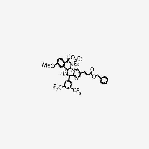 CCOC(=O)N1c2ccc(OC)cc2[C@@H](NC(c2cc(C(F)(F)F)cc(C(F)(F)F)c2)c2ncc(C=CC(=O)OCc3ccccc3)cn2)C[C@H]1CC